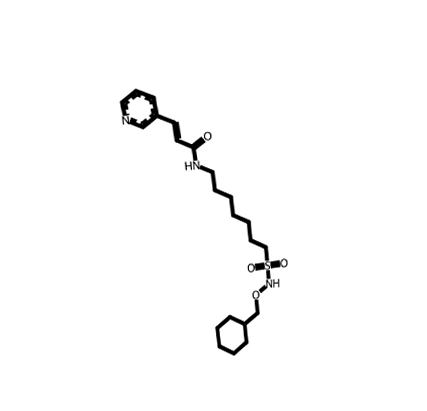 O=C(/C=C/c1cccnc1)NCCCCCCCS(=O)(=O)NOCC1CCCCC1